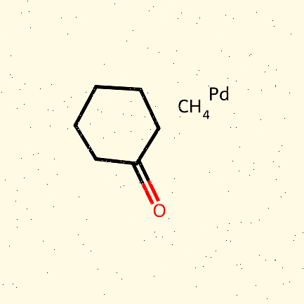 C.O=C1CCCCC1.[Pd]